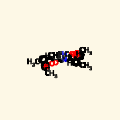 C[C@@H]1CC[C@H]2C(CNCCO[C@@]3(C(F)(F)F)O[C@@H]4O[C@]5(C)CCC6[C@H](C)CC[C@@H]([C@H]3C)[C@]64OO5)=C(C(F)(F)F)O[C@@H]3O[C@]4(C)CCC1[C@]32OO4